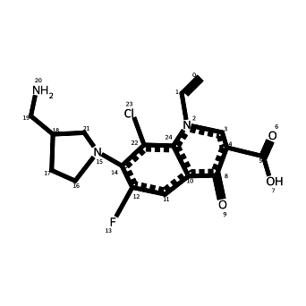 C=Cn1cc(C(=O)O)c(=O)c2cc(F)c(N3CCC(CN)C3)c(Cl)c21